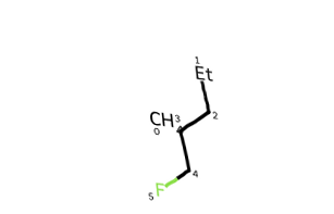 C.CCCCCF